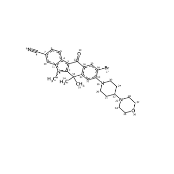 Cn1c2c(c3ccc(C#N)cc31)C(=O)c1cc(Br)c(N3CCC(N4CCOCC4)CC3)cc1C2(C)C